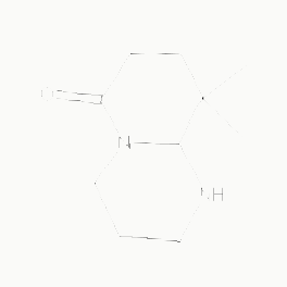 CC1(C)CCC(=O)N2CCCNC21